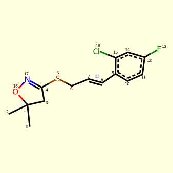 CC1(C)CC(SC/C=C/c2ccc(F)cc2Cl)=NO1